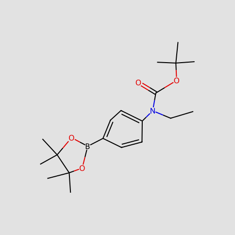 CCN(C(=O)OC(C)(C)C)c1ccc(B2OC(C)(C)C(C)(C)O2)cc1